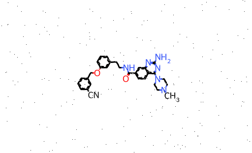 CN1CCN(c2nc(N)nc3cc(C(=O)NCCc4cccc(OCc5cccc(C#N)c5)c4)ccc23)CC1